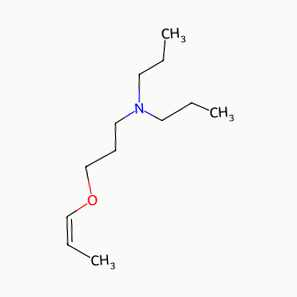 C/C=C\OCCCN(CCC)CCC